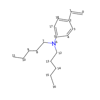 C=Cc1ccc(N(CCCCC)CCCCC)cc1